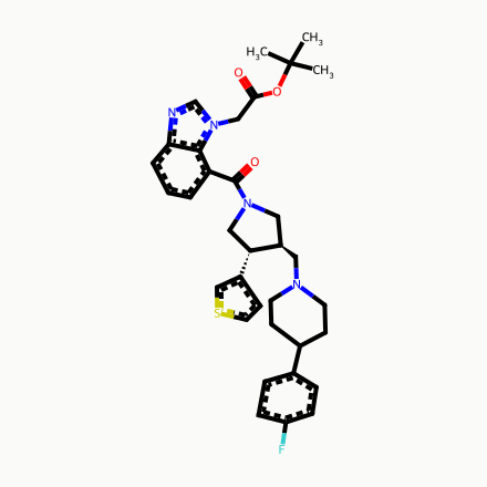 CC(C)(C)OC(=O)Cn1cnc2cccc(C(=O)N3C[C@@H](CN4CCC(c5ccc(F)cc5)CC4)[C@H](c4ccsc4)C3)c21